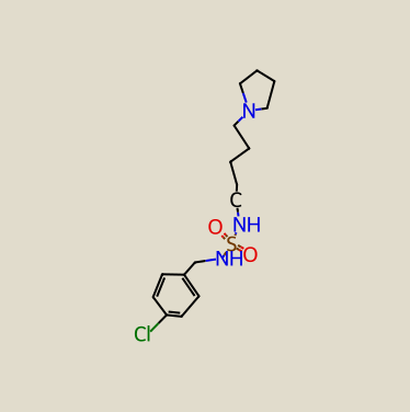 O=S(=O)(NCCCCCN1CCCC1)NCc1ccc(Cl)cc1